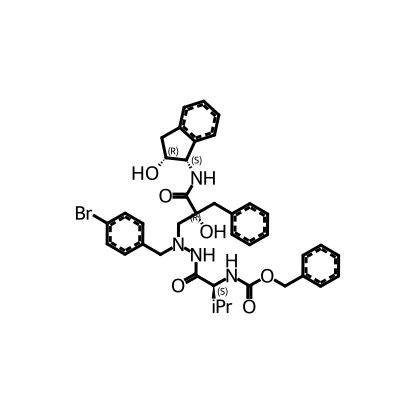 CC(C)[C@H](NC(=O)OCc1ccccc1)C(=O)NN(Cc1ccc(Br)cc1)C[C@](O)(Cc1ccccc1)C(=O)N[C@H]1c2ccccc2C[C@H]1O